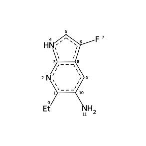 CCc1nc2[nH]cc(F)c2cc1N